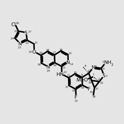 COC[C@@]12SC(N)=N[C@](C)(c3cc(Nc4nccc5cc(OCc6ncc(Cl)s6)cnc45)cc(F)c3F)C1C2C